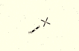 N=C=S.[CH3][Rh]([CH3])([CH3])[CH3]